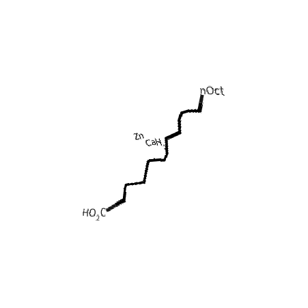 CCCCCCCCCCCCCCCCCC(=O)O.[CaH2].[Zn]